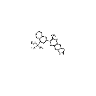 Cc1nc2cc3nsnc3cc2nc1-c1cc(C(C)(C)C)c2ccccc2c1